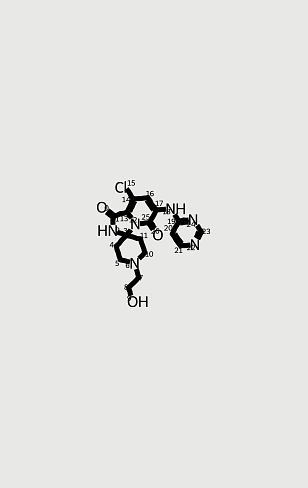 O=C1NC2(CCN(CCO)CC2)n2c1c(Cl)cc(Nc1ccncn1)c2=O